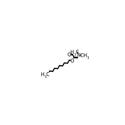 CCCCCCCCCCO/C(C=O)=C/N(C)C